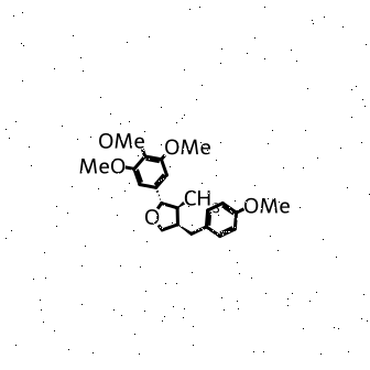 COc1ccc(C[C@H]2CO[C@H](c3cc(OC)c(OC)c(OC)c3)[C@H]2C)cc1